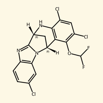 FC(F)Oc1c(Cl)cc(Cl)c2c1[C@H]1C[C@@H](N2)c2nc3ccc(Cl)cc3n21